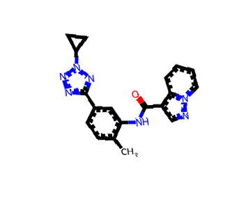 Cc1ccc(-c2nnn(C3CC3)n2)cc1NC(=O)c1cnn2ccccc12